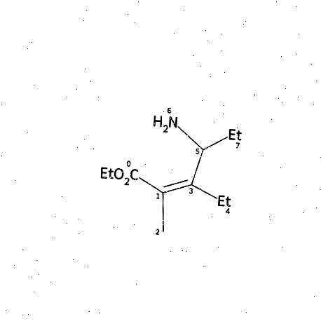 CCOC(=O)C(C)=C(CC)C(N)CC